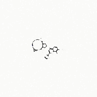 COc1ccc2c(O[C@@H]3C[C@H]4C(=O)N[C@]5(C(=O)O)C[C@H]5/C=C\CCCN(C)C(=O)[C@@H]4C3)cc(-c3nccs3)nc2c1C